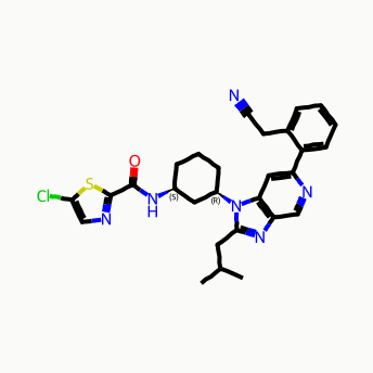 CC(C)Cc1nc2cnc(-c3ccccc3CC#N)cc2n1[C@@H]1CCC[C@H](NC(=O)c2ncc(Cl)s2)C1